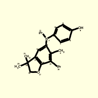 Cc1c(N(c2ccc(O)cc2)C(C)C)cc2c(c1C(C)C)OCC2(C)C